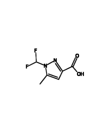 Cc1cc(C(=O)O)nn1C(F)F